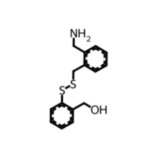 NCc1ccccc1CSSc1ccccc1CO